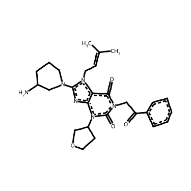 CC(C)=CCn1c(N2CCCC(N)C2)nc2c1c(=O)n(CC(=O)c1ccccc1)c(=O)n2C1CCOC1